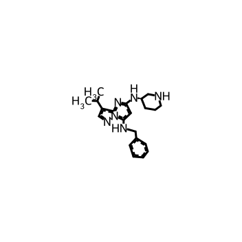 CC(C)c1cnn2c(NCc3ccccc3)cc(N[C@@H]3CCCNC3)nc12